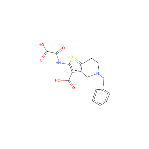 O=C(O)C(=O)Nc1sc2c(c1C(=O)O)CN(Cc1ccccc1)CC2